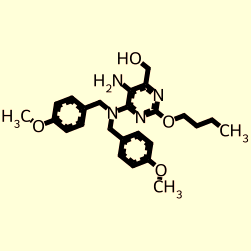 CCCCOc1nc(CO)c(N)c(N(Cc2ccc(OC)cc2)Cc2ccc(OC)cc2)n1